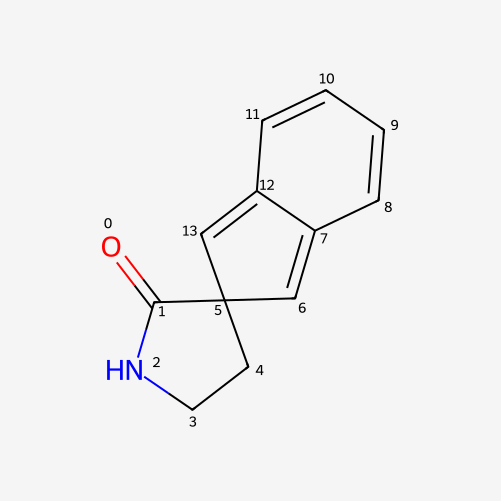 O=C1NCCC12C=c1ccccc1=C2